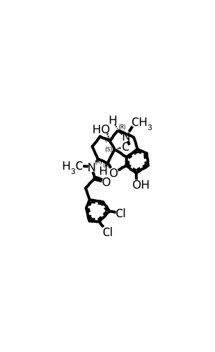 CN1CC[C@]23c4c5ccc(O)c4O[C@H]2[C@H](N(C)C(=O)Cc2ccc(Cl)c(Cl)c2)CC[C@@]3(O)[C@H]1C5